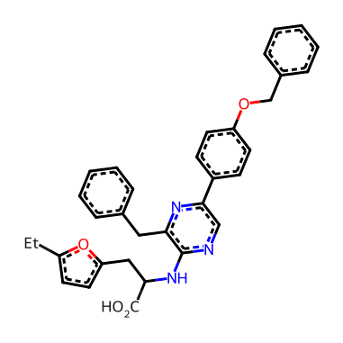 CCc1ccc(CC(Nc2ncc(-c3ccc(OCc4ccccc4)cc3)nc2Cc2ccccc2)C(=O)O)o1